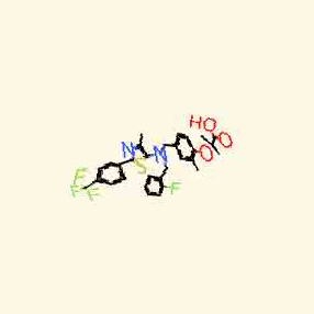 Cc1cc(CN(Cc2ccccc2F)c2sc(-c3ccc(C(F)(F)F)cc3)nc2C)ccc1OC(C)(C)C(=O)O